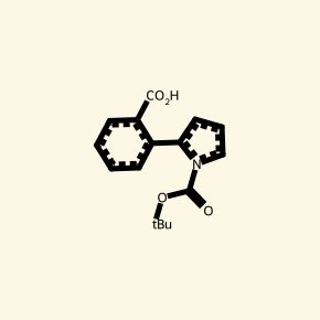 CC(C)(C)OC(=O)n1cccc1-c1ccccc1C(=O)O